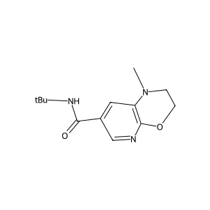 CN1CCOc2ncc(C(=O)NC(C)(C)C)cc21